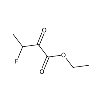 CCOC(=O)C(=O)C(C)F